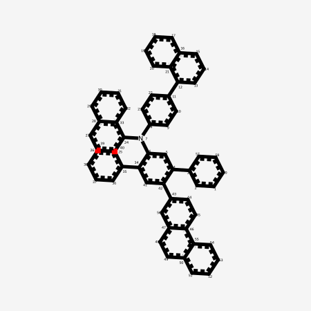 c1ccc(-c2cc(N(c3ccc(-c4cccc5ccccc45)cc3)c3cccc4ccccc34)c(-c3ccccc3)cc2-c2ccc3c(ccc4ccccc43)c2)cc1